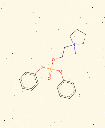 C[N+]1(CCOP(=O)(Oc2ccccc2)Oc2ccccc2)CCCC1